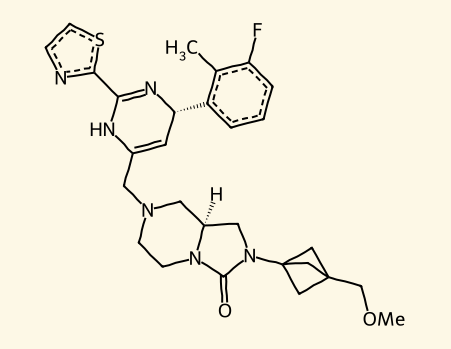 COCC12CC(N3C[C@@H]4CN(CC5=C[C@@H](c6cccc(F)c6C)N=C(c6nccs6)N5)CCN4C3=O)(C1)C2